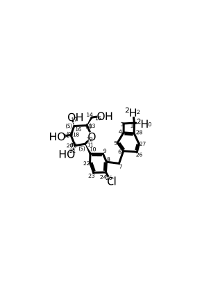 [2H]C1([2H])Cc2cc(Cc3cc([C@@H]4O[C@H](CO)[C@@H](O)[C@H](O)[C@H]4O)ccc3Cl)ccc21